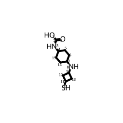 O=C(O)NC1CCC(NC2CC(S)C2)CC1